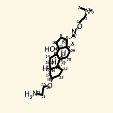 CN(C)CCO/N=C/[C@H]1CC[C@]2(O)[C@@H]3CC[C@@H]4C[C@@H](OCCN)CC[C@]4(C)[C@H]3CC[C@]12C